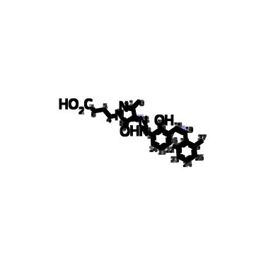 CC1=NN(CCCC(=O)O)C(=O)/C1=N\Nc1cccc(/C=C\c2c(C)cccc2C)c1O